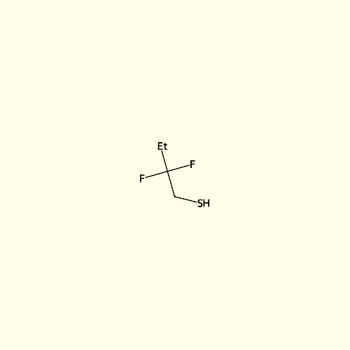 CCC(F)(F)CS